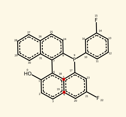 Oc1ccccc1-c1c(P(c2cccc(F)c2)c2cccc(F)c2)ccc2ccccc12